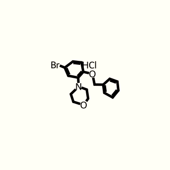 Brc1ccc(OCc2ccccc2)c(N2CCOCC2)c1.Cl